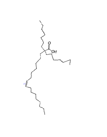 CCCCCCCC/C=C\CCCCCCC(CCCCCCC)(CCCCCCC)C(=O)O